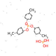 Cc1ccc(OP(Oc2ccc(C)cc2)Oc2ccc(C)cc2)cc1.OP(O)O